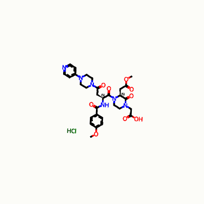 COC(=O)C[C@H]1C(=O)N(CC(=O)O)CCN1C(=O)[C@H](CC(=O)N1CCN(c2ccncc2)CC1)NC(=O)c1ccc(OC)cc1.Cl